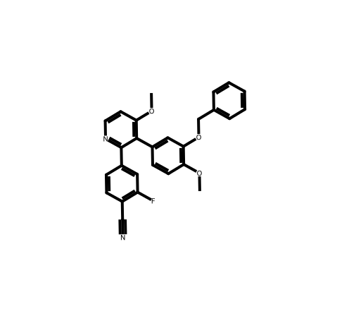 COc1ccc(-c2c(OC)ccnc2-c2ccc(C#N)c(F)c2)cc1OCc1ccccc1